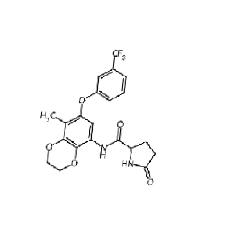 Cc1c(Oc2cccc(C(F)(F)F)c2)cc(NC(=O)C2CCC(=O)N2)c2c1OCCO2